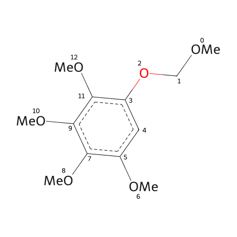 COCOc1cc(OC)c(OC)c(OC)c1OC